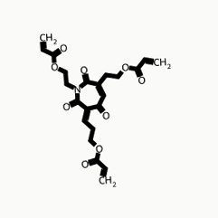 C=CC(=O)OCC/C=C1\C(=O)C=C(CCOC(=O)C=C)C(=O)N(CCOC(=O)C=C)C1=O